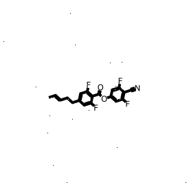 C/C=C/CCc1cc(F)c(C(=O)Oc2cc(F)c(C#N)c(F)c2)c(F)c1